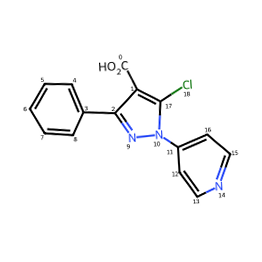 O=C(O)c1c(-c2ccccc2)nn(-c2ccncc2)c1Cl